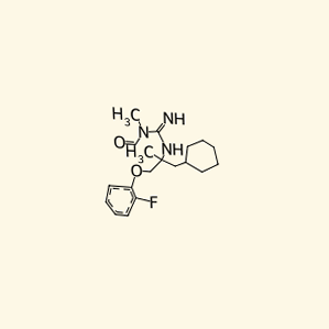 CN(C=O)C(=N)NC(C)(COc1ccccc1F)CC1CCCCC1